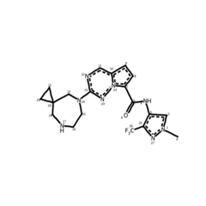 Cn1cc(NC(=O)c2ccc3cnc(N4CCNCC5(CC5)C4)nn23)c(C(F)(F)F)n1